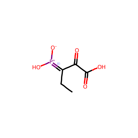 CC/C(C(=O)C(=O)O)=[P+](/[O-])O